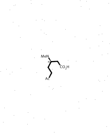 CN[C@H](CCC(C)=O)CC(=O)O